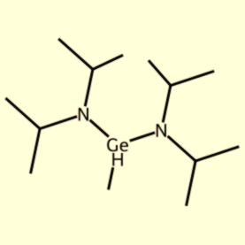 CC(C)[N](C(C)C)[GeH]([CH3])[N](C(C)C)C(C)C